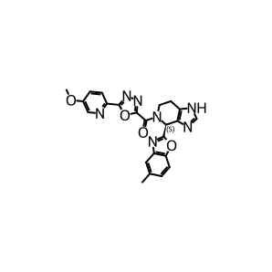 COc1ccc(-c2nnc(C(=O)N3CCc4[nH]cnc4[C@H]3c3nc4cc(C)ccc4o3)o2)nc1